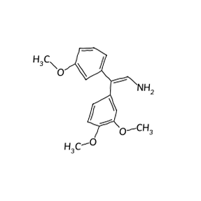 COc1cccc(C(=CN)c2ccc(OC)c(OC)c2)c1